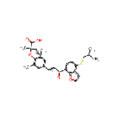 Cc1cc(/C=C/C(=O)c2ccc(SCC(C)C)c3ccoc23)cc(C)c1OC(C)(C)C(=O)O